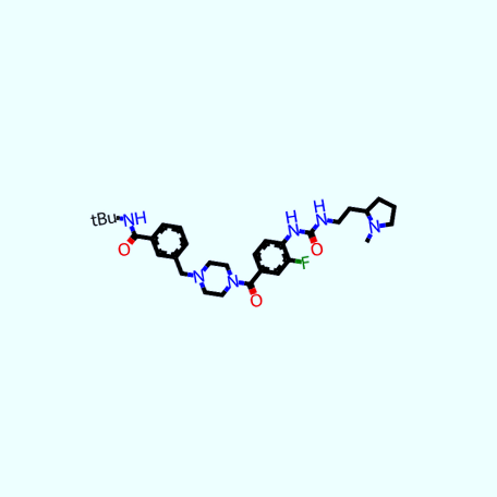 CN1CCCC1CCNC(=O)Nc1ccc(C(=O)N2CCN(Cc3cccc(C(=O)NC(C)(C)C)c3)CC2)cc1F